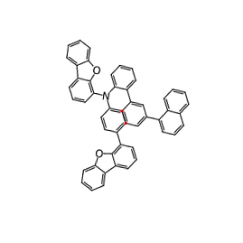 c1cc(-c2ccccc2N(c2ccc(-c3cccc4c3oc3ccccc34)cc2)c2cccc3c2oc2ccccc23)cc(-c2cccc3ccccc23)c1